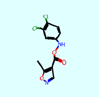 Cc1oncc1C(=O)ONc1ccc(Cl)c(Cl)c1